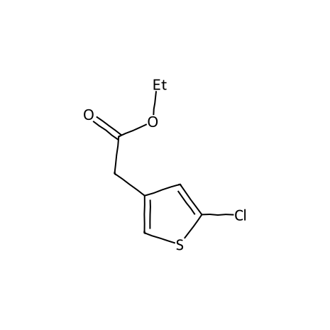 CCOC(=O)Cc1csc(Cl)c1